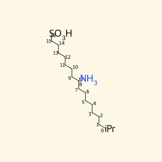 CC(C)CCCCCCCCCCCCCCCS(=O)(=O)O.N